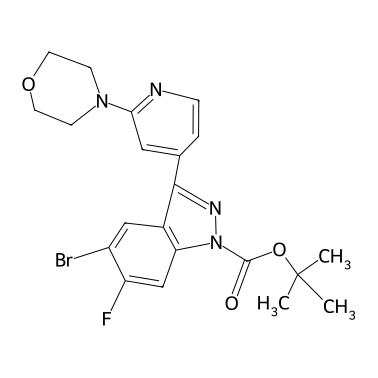 CC(C)(C)OC(=O)n1nc(-c2ccnc(N3CCOCC3)c2)c2cc(Br)c(F)cc21